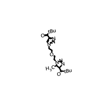 CC1C(C(=O)C(C)(C)C)N=NN1CCOCCn1cc(C(=O)C(C)(C)C)nn1